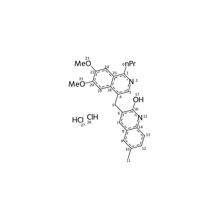 CCCc1ncc(Cc2cc3cc(C)ccc3nc2O)c2cc(OC)c(OC)cc12.Cl.Cl